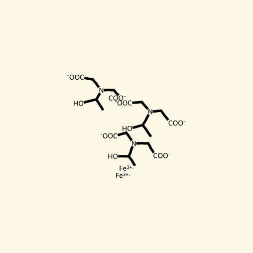 CC(O)N(CC(=O)[O-])CC(=O)[O-].CC(O)N(CC(=O)[O-])CC(=O)[O-].CC(O)N(CC(=O)[O-])CC(=O)[O-].[Fe+3].[Fe+3]